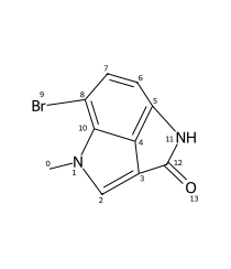 Cn1cc2c3c(ccc(Br)c31)NC2=O